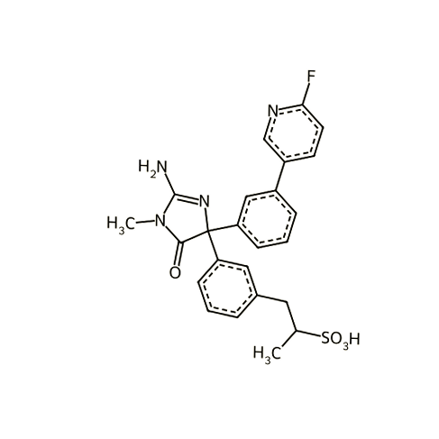 CC(Cc1cccc(C2(c3cccc(-c4ccc(F)nc4)c3)N=C(N)N(C)C2=O)c1)S(=O)(=O)O